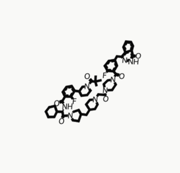 CC(C)(C)C(=O)N1CCCC(c2cccc(C(=O)N[C@@H](C(=O)N3CCC(CC4CCN(CC(=O)N5CCN(C(=O)c6cc(Cc7n[nH]c(=O)c8ccccc78)ccc6F)CC5)CC4)CC3)C3CCCCC3)c2F)C1